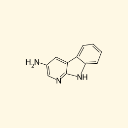 Nc1cnc2[nH]c3ccccc3c2c1